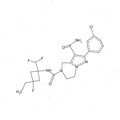 CCC1(F)CC(NC(=O)N2CCn3nc(-c4cccc(Cl)c4)c(C(N)=O)c3C2)(C(F)F)C1